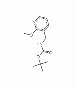 COc1ncccc1CNC(=O)OC(C)(C)C